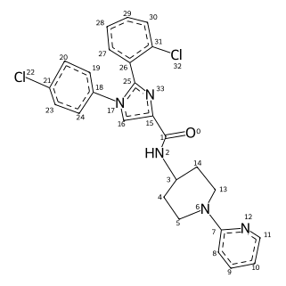 O=C(NC1CCN(c2ccccn2)CC1)c1cn(-c2ccc(Cl)cc2)c(-c2ccccc2Cl)n1